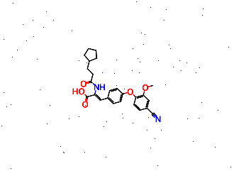 COc1cc(C#N)ccc1Oc1ccc(/C=C(\NC(=O)CCC2CCCC2)C(=O)O)cc1